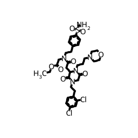 CCOC(=O)CN(CCc1ccc(S(N)(=O)=O)cc1)C(=O)CC1C(=O)N(CCc2ccc(Cl)cc2Cl)CC(=O)N1CCCN1CCOCC1